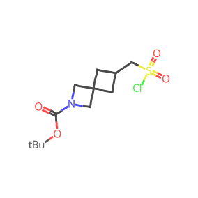 CC(C)(C)OC(=O)N1CC2(CC(CS(=O)(=O)Cl)C2)C1